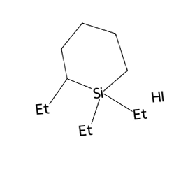 CCC1CCCC[Si]1(CC)CC.I